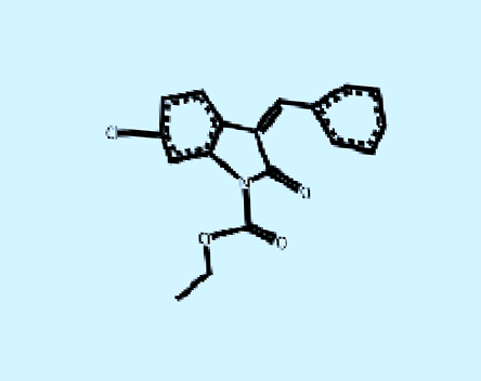 CCOC(=O)N1C(=O)C(=Cc2ccccc2)c2ccc(Cl)cc21